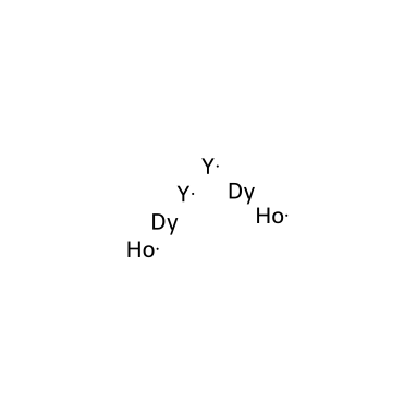 [Dy].[Dy].[Ho].[Ho].[Y].[Y]